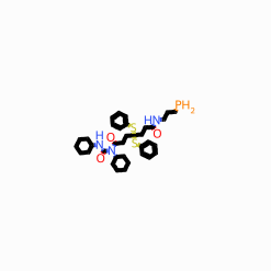 O=C(CCC(CCC(=O)N(C(=O)NC1CCCCC1)C1CCCCC1)(Sc1ccccc1)Sc1ccccc1)NCCCP